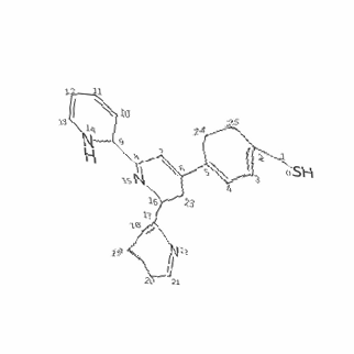 SCC1=CC=C(C2=CC(C3C=CC=CN3)=NC(C3=CCCC=N3)C2)CC1